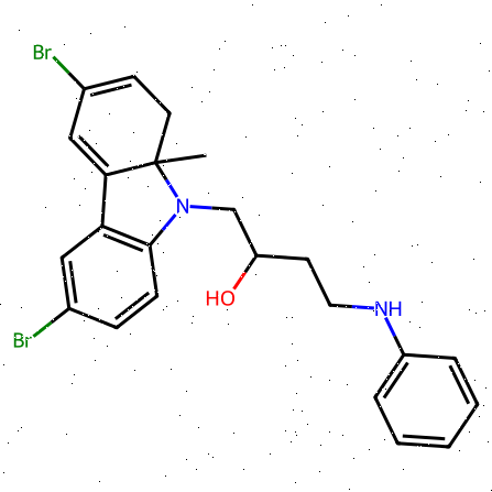 CC12CC=C(Br)C=C1c1cc(Br)ccc1N2CC(O)CCNc1ccccc1